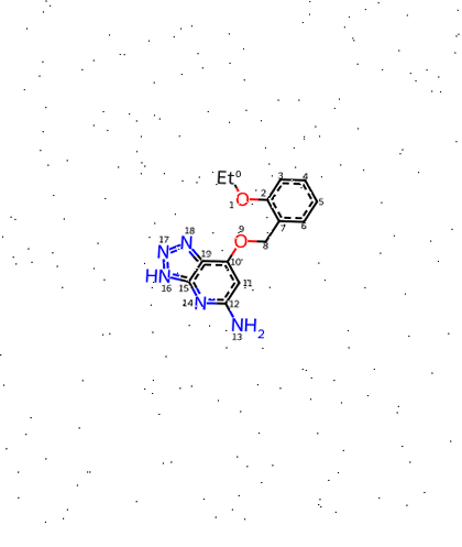 CCOc1ccccc1COc1cc(N)nc2[nH]nnc12